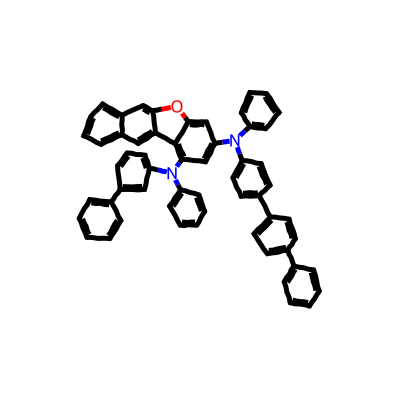 c1ccc(-c2ccc(-c3ccc(N(c4ccccc4)c4cc(N(c5ccccc5)c5cccc(-c6ccccc6)c5)c5c(c4)oc4cc6ccccc6cc45)cc3)cc2)cc1